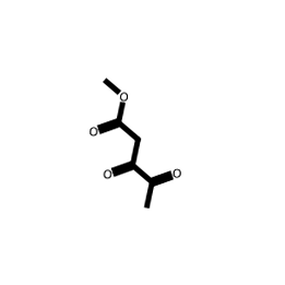 COC(=O)CC(=O)C(C)=O